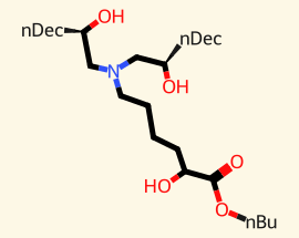 CCCCCCCCCC[C@@H](O)CN(CCCCC(O)C(=O)OCCCC)C[C@H](O)CCCCCCCCCC